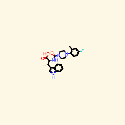 Cc1cc(F)ccc1N1CCN(C(=O)N[C@@H](C(=O)O)[C@@H](C)c2c[nH]c3ccccc23)CC1